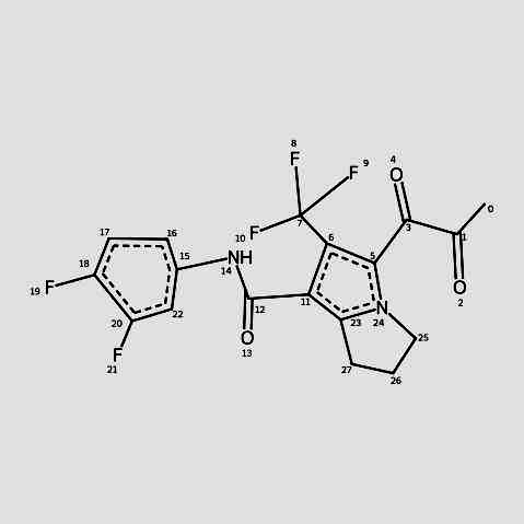 CC(=O)C(=O)c1c(C(F)(F)F)c(C(=O)Nc2ccc(F)c(F)c2)c2n1CCC2